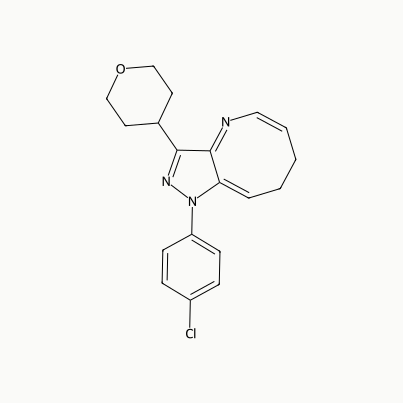 Clc1ccc(-n2nc(C3CCOCC3)c3/c2=C\CC/C=C\N=3)cc1